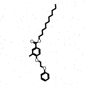 CCCCCCCCCCCOC(=O)c1ccc(OCCOc2ccccc2)c(C)c1